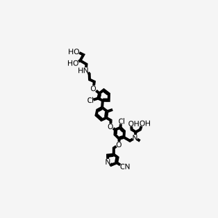 Cc1c(COc2cc(OCc3cncc(C#N)c3)c(CN(C)C(CO)CO)cc2Cl)cccc1-c1cccc(OCCCNCC(O)CO)c1Cl